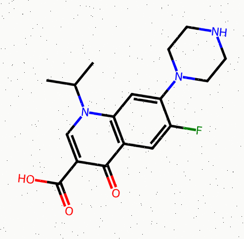 CC(C)n1cc(C(=O)O)c(=O)c2cc(F)c(N3CCNCC3)cc21